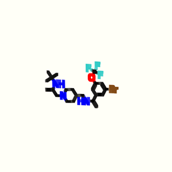 C=C(CN1CCC(CNC(=C)c2cc(Br)cc(OC(F)(F)F)c2)CC1)NC(C)(C)C